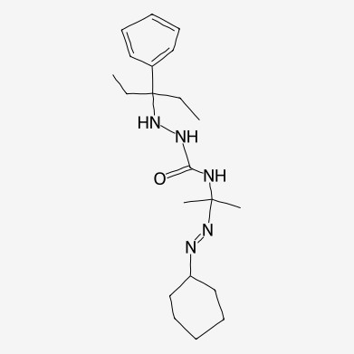 CCC(CC)(NNC(=O)NC(C)(C)N=NC1CCCCC1)c1ccccc1